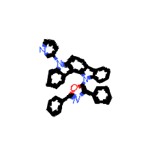 c1ccc(-c2nc(-c3ccccc3)c(-n3c4ccccc4c4ccc5c(c6ccccc6n5-c5cccnc5)c43)o2)cc1